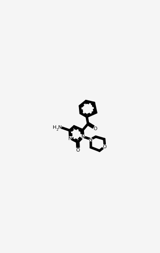 Nc1cc(C(=O)c2ccccc2)n(N2CCOCC2)c(=O)n1